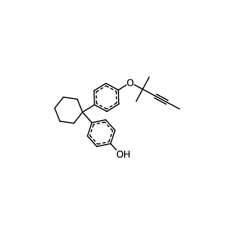 CC#CC(C)(C)Oc1ccc(C2(c3ccc(O)cc3)CCCCC2)cc1